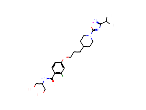 CC(C)c1noc(N2CCC(CCCOc3ccc(C(=O)NC(CO)CO)c(F)c3)CC2)n1